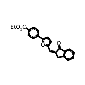 CCOC(=O)c1ccc(-c2ccc(C=C3Cc4ccccc4C3=O)o2)cc1